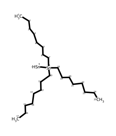 CCCCCCC[CH2][Sn]([SnH])([CH2]CCCCCCC)[CH2]CCCCCCC